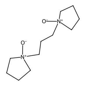 [O-][N+]1(CCC[N+]2([O-])CCCC2)CCCC1